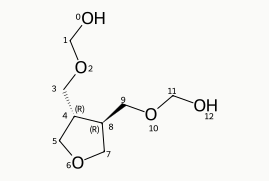 OCOC[C@H]1COC[C@@H]1COCO